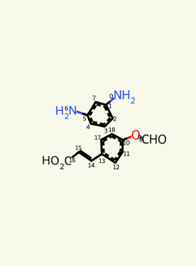 Nc1cccc(N)c1.O=COc1ccc(C=CC(=O)O)cc1